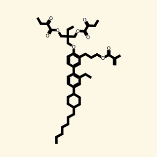 C=C(C)C(=O)OCCCc1cc(-c2ccc(C3CCC(CCCCCCC)CC3)cc2CC)ccc1OCC(CC)(COC(=O)C(=O)CC)COC(=O)C(=O)CC